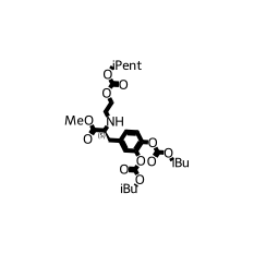 CCCC(C)OC(=O)OCCN[C@@H](Cc1ccc(OC(=O)OC(C)CC)c(OC(=O)OC(C)CC)c1)C(=O)OC